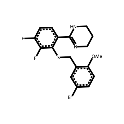 COc1ccc(Br)cc1CSc1c(C2=NCCCN2)ccc(F)c1F